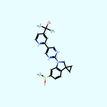 C[S+]([O-])c1ccc2c(c1)N(c1ncc(-c3cc(C(C)(C)O)ccn3)cn1)CC21CC1